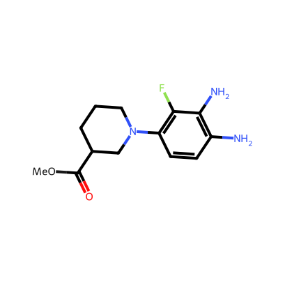 COC(=O)C1CCCN(c2ccc(N)c(N)c2F)C1